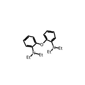 CCN(CC)c1ccccc1Oc1ccccc1N(CC)CC